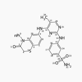 CCCN1C(=O)CSc2ccc(Nc3nc(Nc4cccc(S(N)(=O)=O)c4)ncc3C)cc21